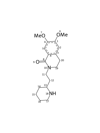 COc1cc2c(cc1OC)C(=O)N(CCC1CCCCN1)CC2